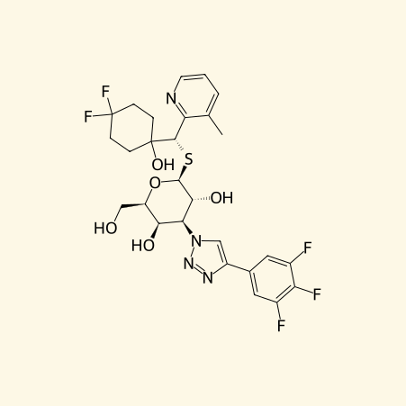 Cc1cccnc1[C@H](S[C@@H]1O[C@H](CO)[C@H](O)[C@H](n2cc(-c3cc(F)c(F)c(F)c3)nn2)[C@H]1O)C1(O)CCC(F)(F)CC1